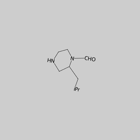 CC(C)CC1CNCCN1C=O